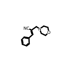 N#C/C(=C\c1ccccc1)CN1CCOCC1